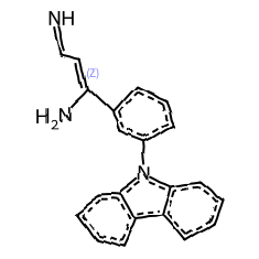 N=C/C=C(\N)c1cccc(-n2c3ccccc3c3ccccc32)c1